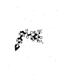 CC(C(=O)Nc1ccnc(-c2cnc(N3CC4CC4C3)nc2)n1)n1cnc2c1c(=O)n(CC#N)c(=O)n2C